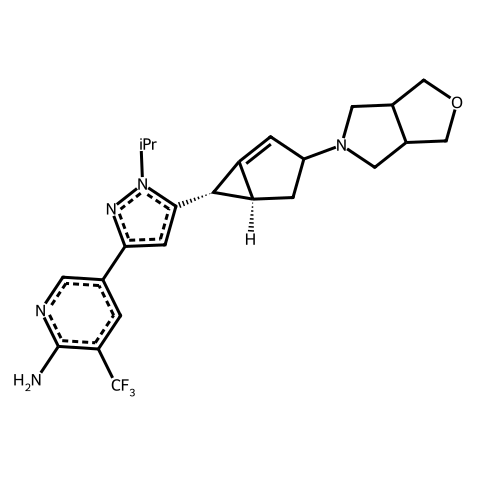 CC(C)n1nc(-c2cnc(N)c(C(F)(F)F)c2)cc1[C@@H]1C2=CC(N3CC4COCC4C3)C[C@H]21